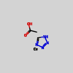 CC(=O)O.[Ce].c1nnn[nH]1